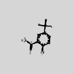 CC(C)(C)c1ccc(O)c(C(N)=O)c1